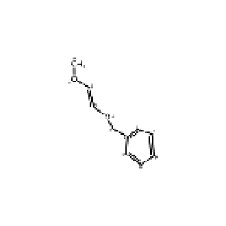 COC=COCc1ccccc1